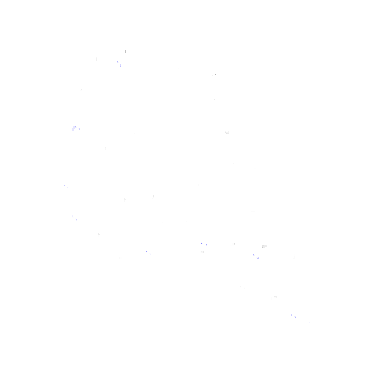 Cc1cc(-c2cc3c(-c4cc5c(-c6ccc(F)s6)nccc5[nH]4)n[nH]c3cn2)nc(N2CC(N)C2)c1